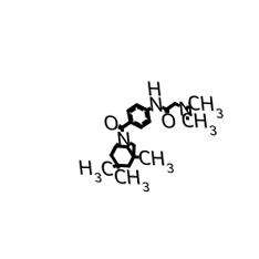 CN(C)CC(=O)Nc1ccc(C(=O)N2CC3(C)CC2CC(C)(C)C3)cc1